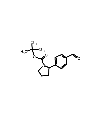 CC(C)(C)OC(=O)N1CCCC1c1ccc(C=O)cc1